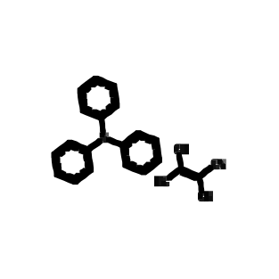 N#CC(C#N)=C(C#N)C#N.c1ccc(N(c2ccccc2)c2ccccc2)cc1